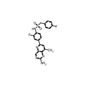 Cc1cc(-c2ccc(NS(=O)(=O)Cc3ccc(F)cc3)c(F)c2)nc2cnc(N)nc12